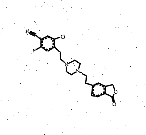 N#Cc1cc(Cl)c(CCN2CCN(CCc3ccc4c(c3)COC4=O)CC2)cc1F